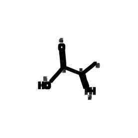 CC(=P)C(=O)O